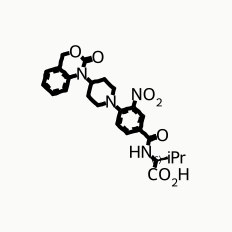 CC(C)[C@H](NC(=O)c1ccc(N2CCC(N3C(=O)OCc4ccccc43)CC2)c([N+](=O)[O-])c1)C(=O)O